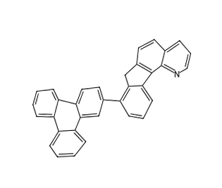 c1cc(-c2ccc3c4ccccc4c4ccccc4c3c2)c2c(c1)-c1c(ccc3cccnc13)C2